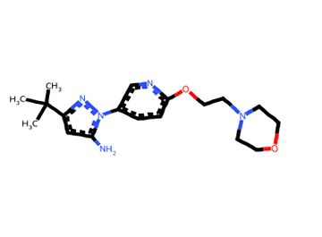 CC(C)(C)c1cc(N)n(-c2ccc(OCCN3CCOCC3)nc2)n1